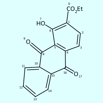 CCOC(=O)c1ccc2c(c1O)C(=O)c1ccccc1C2=O